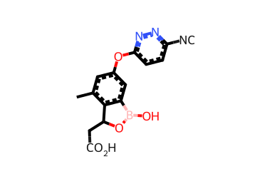 [C-]#[N+]c1ccc(Oc2cc(C)c3c(c2)B(O)OC3CC(=O)O)nn1